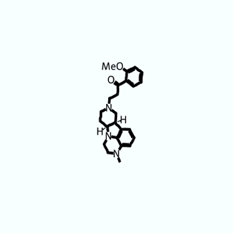 COc1ccccc1C(=O)CCN1CC[C@H]2[C@@H](C1)c1cccc3c1N2CCN3C